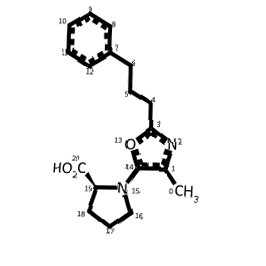 Cc1nc(CCCc2ccccc2)oc1N1CCC[C@H]1C(=O)O